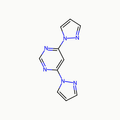 c1cnn(-c2cc(-n3cccn3)ncn2)c1